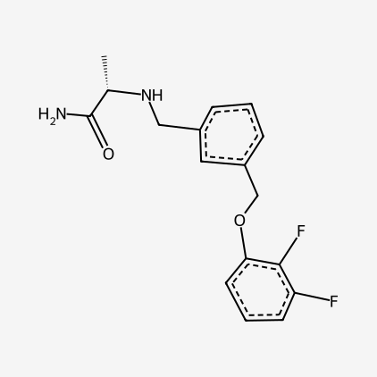 C[C@H](NCc1cccc(COc2cccc(F)c2F)c1)C(N)=O